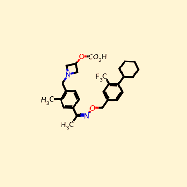 CC(=NOCc1ccc(C2CCCCC2)c(C(F)(F)F)c1)c1ccc(CN2CC(OC(=O)O)C2)c(C)c1